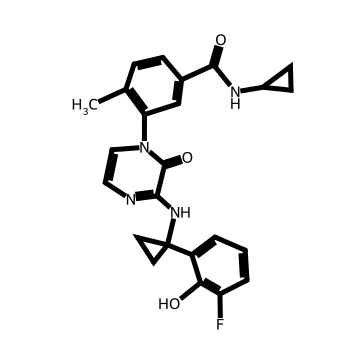 Cc1ccc(C(=O)NC2CC2)cc1-n1ccnc(NC2(c3cccc(F)c3O)CC2)c1=O